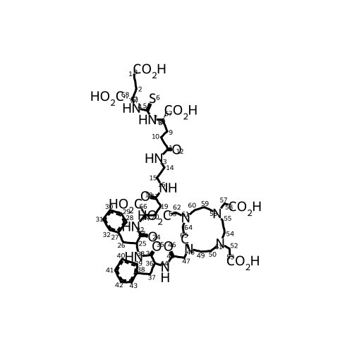 O=C(O)CC[C@H](NC(=S)N[C@@H](CCC(=O)NCCNC(=O)CC[C@@H](NC(=O)C(Cc1ccccc1)NC(=O)C(Cc1ccccc1)NC(=O)CN1CCN(CC(=O)O)CCN(CC(=O)O)CCN(CC(=O)O)CC1)C(=O)O)C(=O)O)C(=O)O